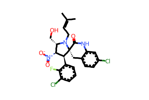 CC(C)=CCN1[C@@H](CO)[C@@H]([N+](=O)[O-])[C@H](c2cccc(Cl)c2F)[C@@]12Cc1ccc(Cl)cc1NC2=O